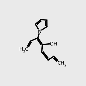 C=C/C=C\C(O)=C(/C=C)n1cccc1